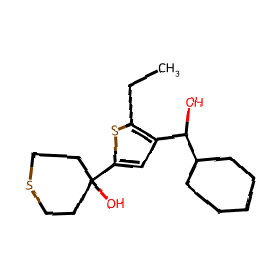 CCc1sc(C2(O)CCSCC2)cc1C(O)C1CCCCC1